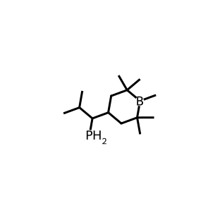 CB1C(C)(C)CC(C(P)C(C)C)CC1(C)C